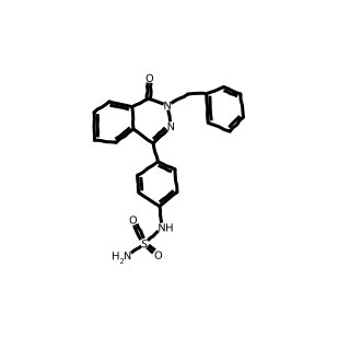 NS(=O)(=O)Nc1ccc(-c2nn(Cc3ccccc3)c(=O)c3ccccc23)cc1